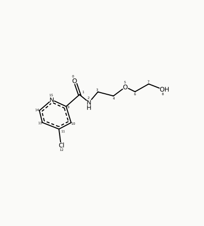 O=C(NCCOCCO)c1cc(Cl)ccn1